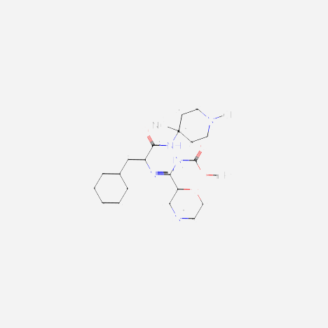 CCCOC(=O)NC(=NC(CC1CCCCC1)C(=O)NC1(C#N)CCN(C)CC1)C1CNCCO1